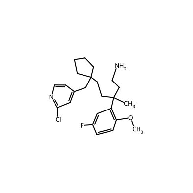 COc1ccc(F)cc1C(C)(CCN)CCC1(Cc2ccnc(Cl)c2)CCCC1